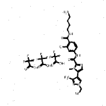 Cn1c(-c2cn(CC#N)nc2C(F)(F)F)cnc1C(=O)Nc1ccc(C(=O)NCCCCN)c(Cl)c1.O=C(O)C(F)(F)F.O=C(O)C(F)(F)F.O=C(O)C(F)(F)F